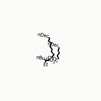 CCCCCCCCCCCCCCCC(=O)O.CCCCCCCCCCCCCCCCCC(=O)OCC(CC)CCCC